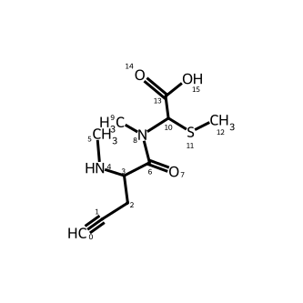 C#CCC(NC)C(=O)N(C)C(SC)C(=O)O